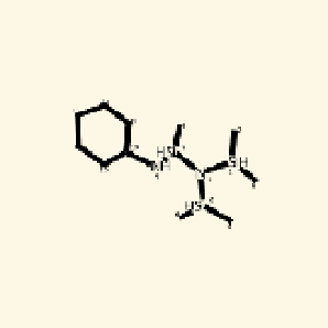 C[SiH](C)N([SiH](C)C)[SiH](C)NC1CCCCC1